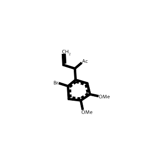 C=CC(C(C)=O)c1cc(OC)c(OC)cc1Br